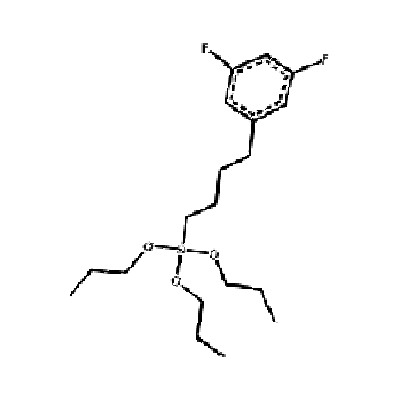 CCCO[Si](CCCCc1cc(F)cc(F)c1)(OCCC)OCCC